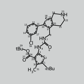 CCCCc1sc(NC(=O)NCc2c(-c3cccc(Cl)c3)sc3c2CCNC3)c(C(=O)OC(C)(C)C)c1C